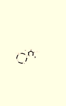 OC[C@H]1O[C@H](N2CCNCCNCCNCC2)[C@H](O)[C@@H](O)[C@@H]1O